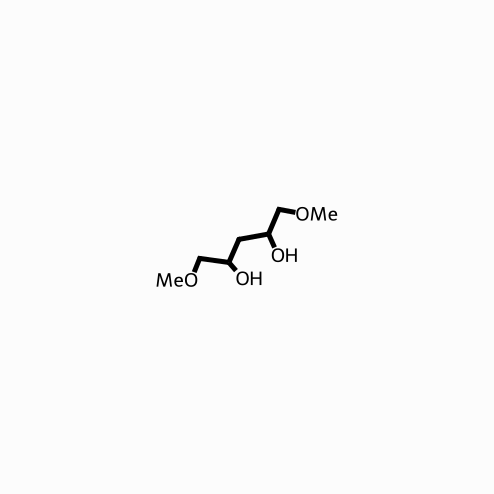 COCC(O)CC(O)COC